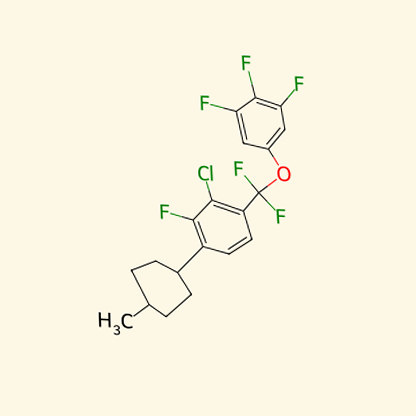 CC1CCC(c2ccc(C(F)(F)Oc3cc(F)c(F)c(F)c3)c(Cl)c2F)CC1